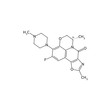 Cc1nc2c(=O)n3c4c(c(N5CCN(C)CC5)c(F)cc4c2o1)OC[C@@H]3C